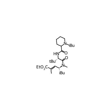 CCOC(=O)/C(C)=C/[C@H]([C@@H](C)CC)N(C)C(=O)[C@@H](NC(=O)C1CCCCN1C(C)CC)C(C)(C)C